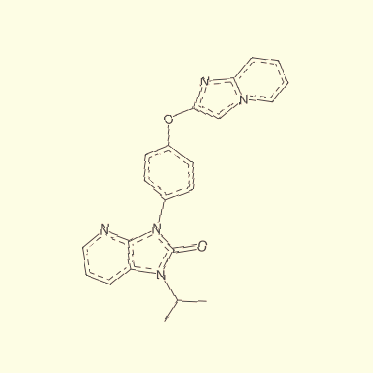 CC(C)n1c(=O)n(-c2ccc(Oc3cn4ccccc4n3)cc2)c2ncccc21